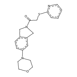 O=C(CSc1ccccn1)N1Cc2ccc(N3CCOCC3)cc2C1